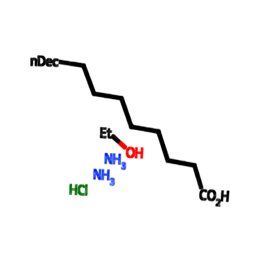 CCCCCCCCCCCCCCCCCC(=O)O.CCO.Cl.N.N